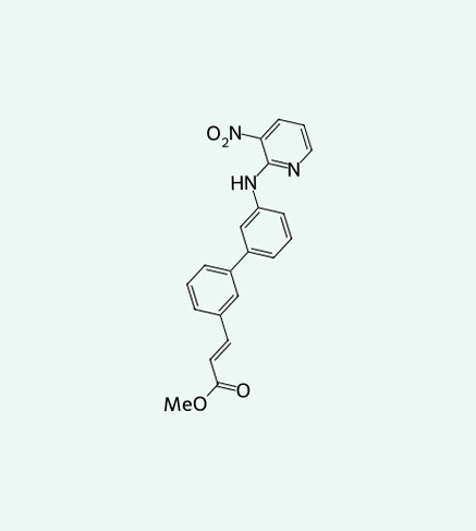 COC(=O)/C=C/c1cccc(-c2cccc(Nc3ncccc3[N+](=O)[O-])c2)c1